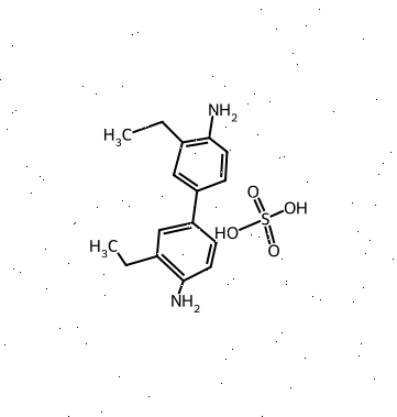 CCc1cc(-c2ccc(N)c(CC)c2)ccc1N.O=S(=O)(O)O